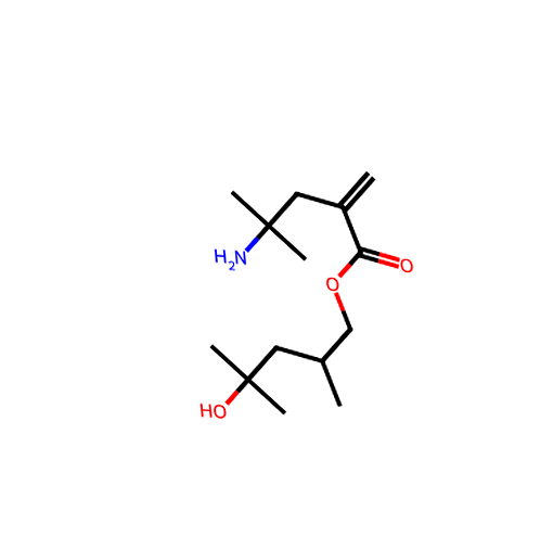 C=C(CC(C)(C)N)C(=O)OCC(C)CC(C)(C)O